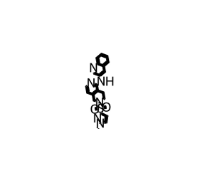 Cn1ccc(S(=O)(=O)N2CCc3c(ccnc3Nc3cnc4ccccc4c3)C2)n1